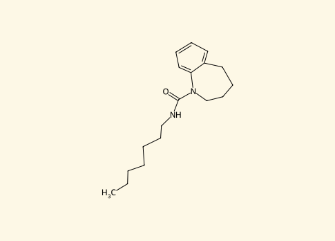 CCCCCCCNC(=O)N1CCCCc2ccccc21